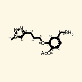 BCc1ccc(OC(C)=O)c(OCCCc2cn(C)nn2)c1